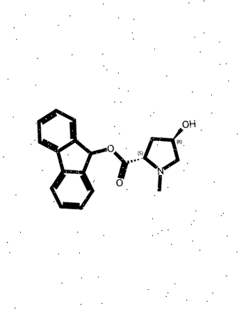 CN1C[C@H](O)C[C@H]1C(=O)OC1c2ccccc2-c2ccccc21